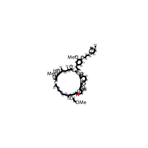 COCCO[C@H]1C[C@@H]2CC[C@@H](C)[C@@](O)(O2)C(=O)C(=O)N2CCCC[C@H]2C(=O)O[C@H](C(C)C[C@@H]2CC[C@@H](OCCCN3CCN(C)CC3)[C@H](OC)C2)CC(=O)[C@H](C)/C=C(\C)[C@@H](O)[C@@H](OC)C(=O)[C@H](C)C[C@H](C)/C=C/C=C/C=C/1C